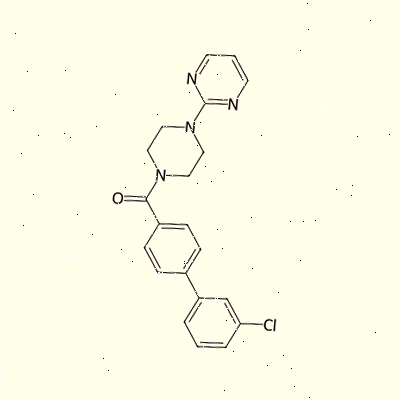 O=C(c1ccc(-c2cccc(Cl)c2)cc1)N1CCN(c2ncccn2)CC1